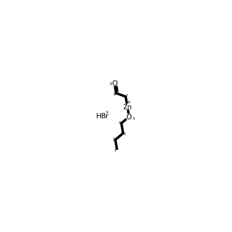 Br.CCCC[O][Zn][CH2]C=O